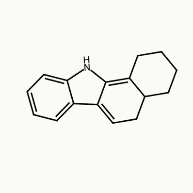 C1=c2c([nH]c3ccccc23)=C2CCCCC2C1